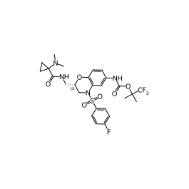 CN(C)C1(C(=O)NC[C@H]2CN(S(=O)(=O)c3ccc(F)cc3)c3cc(NC(=O)OC(C)(C)C(F)(F)F)ccc3O2)CC1